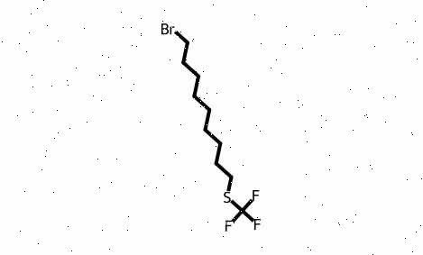 FC(F)(F)SCCCCCCCCCBr